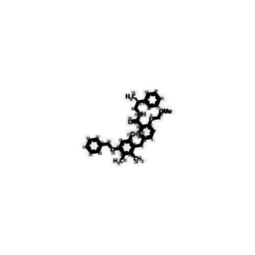 COCOc1ccc(Cc2c(C)cc(OCc3ccccc3)c(C)c2C)nc1C(=O)NC[C@H](C)c1ccccc1